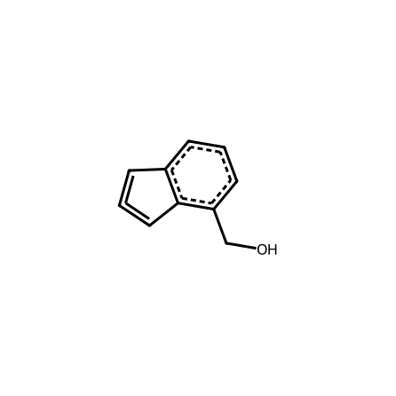 OCc1cccc2c1C=C=C2